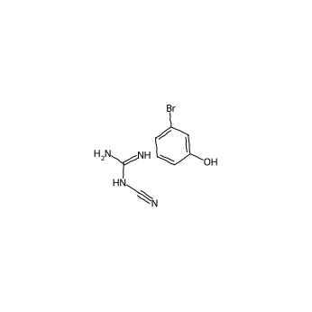 N#CNC(=N)N.Oc1cccc(Br)c1